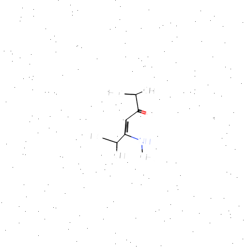 CN/C(=C\C(=O)C(C)C)C(C)C